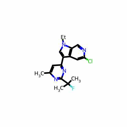 CCn1cc(-c2cc(C)nc(C(C)(C)F)n2)c2cc(Cl)ncc21